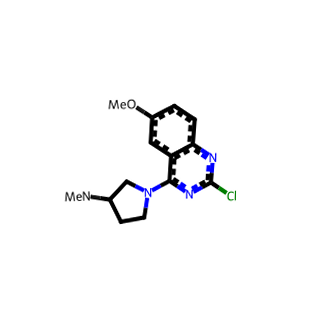 CNC1CCN(c2nc(Cl)nc3ccc(OC)cc23)C1